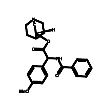 COc1ccc(C(NC(=O)c2ccccc2)C(=O)O[C@H]2CN3CCC2CC3)cc1